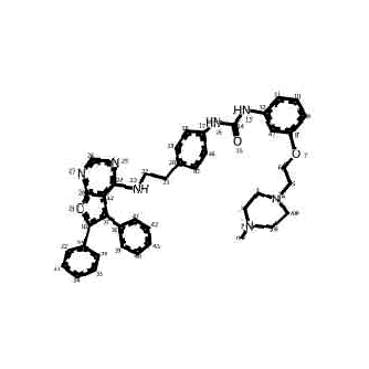 CN1CCN(CCOc2cccc(NC(=O)Nc3ccc(CCNc4ncnc5oc(-c6ccccc6)c(-c6ccccc6)c45)cc3)c2)CC1